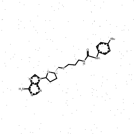 CC(C)(C)c1ccc(NC(=O)NCCCSC[C@@H]2CCC(n3cnc4c(N)ncnc43)O2)cc1